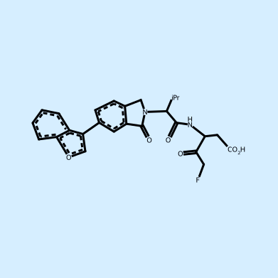 CC(C)C(C(=O)NC(CC(=O)O)C(=O)CF)N1Cc2ccc(-c3coc4ccccc34)cc2C1=O